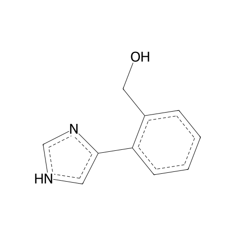 OCc1ccccc1-c1c[nH]cn1